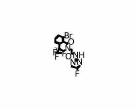 C[C@@]1(C(F)(F)F)CN(CC(=O)Nc2ncc(F)cn2)C(=O)c2c(Br)cccc21